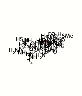 CSCC[C@H](NC(=O)[C@@H]1CCCN1C(=O)CNC(=O)[C@H](CCCCN)NC(=O)[C@H](Cc1c[nH]cn1)NC(=O)[C@H](CS)NC(=O)[C@H](CC(C)C)NC(=O)[C@H](CCCNC(=N)N)NC(=O)[C@@H]1CCCN1C(=O)[C@H](CCCNC(=N)N)NC(=O)[C@@H](N)CS)C(=O)N1CCC[C@H]1C(=O)N[C@@H](Cc1ccccc1)C(=O)O